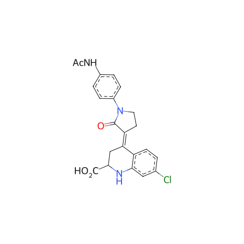 CC(=O)Nc1ccc(N2CCC(=C3CC(C(=O)O)Nc4cc(Cl)ccc43)C2=O)cc1